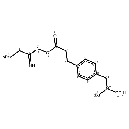 CCCCCCCCCCCC(=N)NOC(=O)CCc1ccc(CN(C(=O)O)C(C)(C)C)cc1